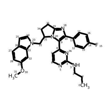 CCCNc1nccc(-c2c(-c3ccc(F)cc3)nc3n2C(Cn2ccc4ccc(OC)cc42)CC3)n1